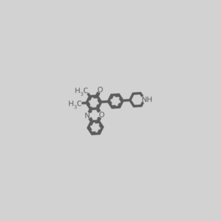 Cc1c2nc3ccccc3oc-2c(-c2ccc(C3CCNCC3)cc2)c(=O)c1C